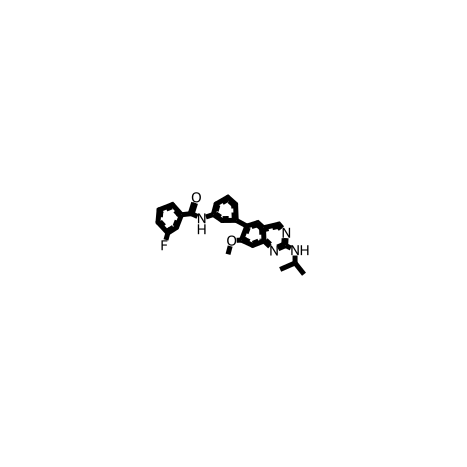 COc1cc2nc(NC(C)C)ncc2cc1-c1cccc(NC(=O)c2cccc(F)c2)c1